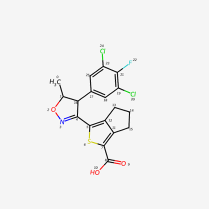 CC1ON=C(c2sc(C(=O)O)c3c2CCC3)C1c1cc(Cl)c(F)c(Cl)c1